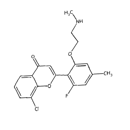 CNCCOc1cc(C)cc(F)c1-c1cc(=O)c2cccc(Cl)c2o1